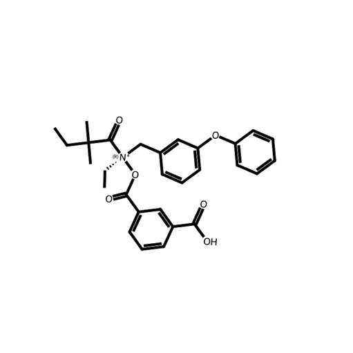 CCC(C)(C)C(=O)[N@@+](CC)(Cc1cccc(Oc2ccccc2)c1)OC(=O)c1cccc(C(=O)O)c1